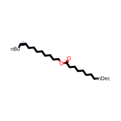 CCCC/C=C\CCCCCCCCOC(=O)CCCCCCCCCCCCCCCCC